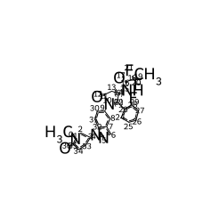 Cn1cc(-n2ncc3cc(N4C(=O)C[C@H](NC(=O)C(C)(F)F)[C@H]4c4ccccc4F)ccc32)ccc1=O